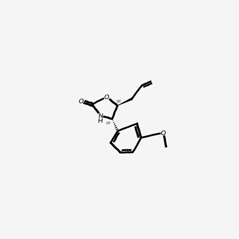 C=CC[C@@H]1OC(=O)N[C@H]1c1cccc(OC)c1